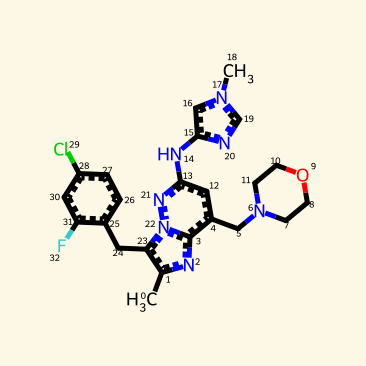 Cc1nc2c(CN3CCOCC3)cc(Nc3cn(C)cn3)nn2c1Cc1ccc(Cl)cc1F